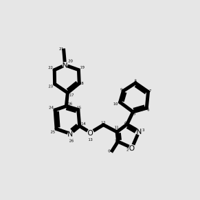 Cc1onc(-c2ccccc2)c1COc1cc(C2=CCN(C)CC2)ccn1